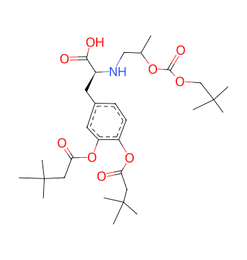 CC(CN[C@@H](Cc1ccc(OC(=O)CC(C)(C)C)c(OC(=O)CC(C)(C)C)c1)C(=O)O)OC(=O)OCC(C)(C)C